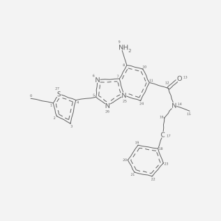 Cc1ccc(-c2nc3c(N)cc(C(=O)N(C)CCc4ccccc4)cn3n2)s1